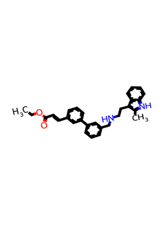 CCOC(=O)/C=C/c1cccc(-c2cccc(CNCCc3c(C)[nH]c4ccccc34)c2)c1